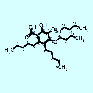 CCCCCc1c(CCCCC)c(C(=O)O)c(O)c(OOCCCC)c1OCCCC